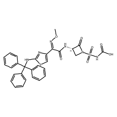 CON=C(C(=O)N[C@H]1CN(S(=O)(=O)NC(=O)O)C1=O)c1csc(NC(c2ccccc2)(c2ccccc2)c2ccccc2)n1